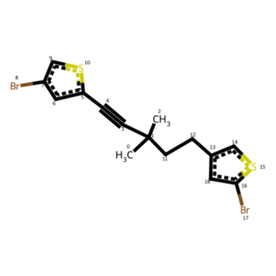 CC(C)(C#Cc1cc(Br)cs1)CCc1csc(Br)c1